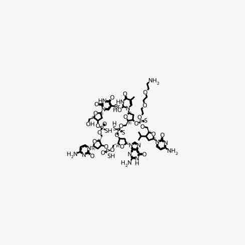 CC1=CN([C@H]2CC(OP(=S)(OCCOCCOCCN)OC[C@H]3O[C@@H](n4ccc(N)nc4=O)CC3C(C)C)[C@@H](COP(=S)(S)OC3C[C@H](n4cnc5c(=O)[nH]c(N)nc54)O[C@@H]3COP(=O)(S)OC3C[C@H](n4ccc(N)nc4=O)O[C@@H]3COP(=O)(S)OC3C[C@H](n4cc(Br)c(=O)[nH]c4=O)O[C@@H]3CO)O2)C(O)NC1=O